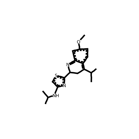 COc1ccc2c(c1)=NC(c1nc(NC(C)C)cs1)CC=2C(C)C